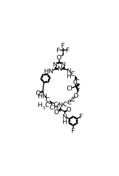 CC1(C)CNC(=O)c2ccc(cc2)Nc2nc(nc(OCC(F)(F)F)n2)NCc2ccc(c(Cl)c2)OCCCN(C(=O)C(=O)Nc2cc(F)cc(F)c2)C1